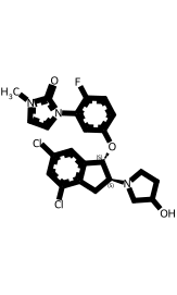 Cn1ccn(-c2cc(O[C@H]3c4cc(Cl)cc(Cl)c4C[C@@H]3N3CCC(O)C3)ccc2F)c1=O